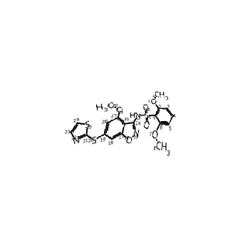 COc1cccc(OC)c1S(=O)(=O)Nc1noc2cc(Sc3nccs3)cc(OC)c12